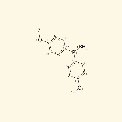 BP(c1ccc(OC)cc1)c1ccc(OC)cc1